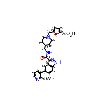 COc1ncccc1-c1ccc2[nH]nc(C(=O)NCC3CCN(Cc4ccc(C(=O)O)o4)CC3)c2c1